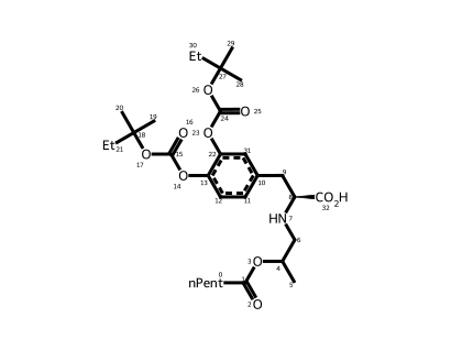 CCCCCC(=O)OC(C)CN[C@@H](Cc1ccc(OC(=O)OC(C)(C)CC)c(OC(=O)OC(C)(C)CC)c1)C(=O)O